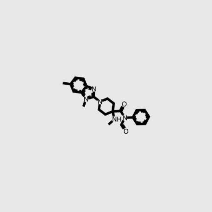 CNC1(C(=O)N(C=O)c2ccccc2)CCN(c2nc3ccc(C)cc3n2C)CC1